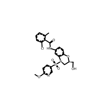 COc1ccc(S(=O)(=O)N2C[C@H](CO)Oc3ccc(NC(=O)c4c(C)cccc4Cl)cc32)cn1